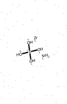 [OH][Ti]([OH])([OH])[OH].[SrH2].[Zr]